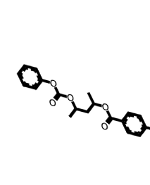 Cc1ccc(C(=O)OC(C)CC(C)OC(=O)Oc2ccccc2)cc1